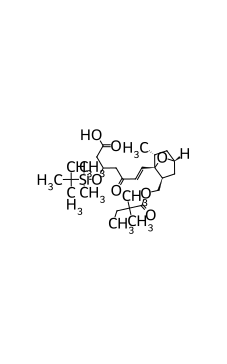 CCC(C)(C)C(=O)OC[C@@H]1C[C@H]2C[C@@H](C)[C@]1(/C=C/C(=O)CC(CC(=O)O)O[Si](C)(C)C(C)(C)C)O2